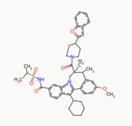 COc1ccc2c(c1)C(C)C(C)(C(=O)N1CCC(c3cc4ccccc4o3)CC1)Cn1c-2c(C2CCCCC2)c2ccc(C(=O)NS(=O)(=O)C(C)C)cc21